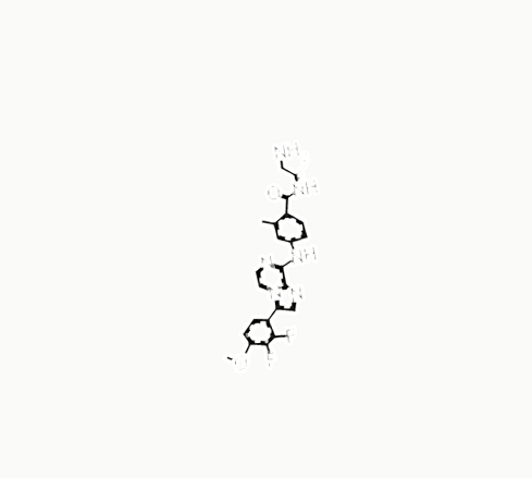 COc1ccc(-c2cnc3c(Nc4ccc(C(=O)N[C@@H](C)CN)c(C)c4)nccn23)c(F)c1F